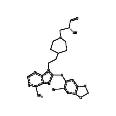 Nc1ncnc2c1nc(Sc1cc3c(cc1Br)OCO3)n2CCC1CCN(C[C@@H](O)C=O)CC1